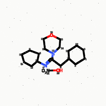 C1CCC(CC(=NC2CCCCC2)N2CCOCC2)CC1.O=[N+]([O-])O